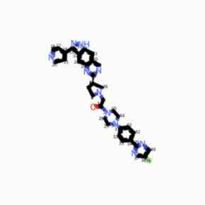 O=C(CN1CC[C@@H](c2ncc3cc4[nH]nc(-c5ccncc5)c4cc3n2)C1)N1CCN(c2ccc(-c3ncc(F)cn3)cc2)CC1